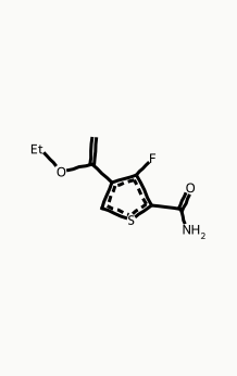 C=C(OCC)c1csc(C(N)=O)c1F